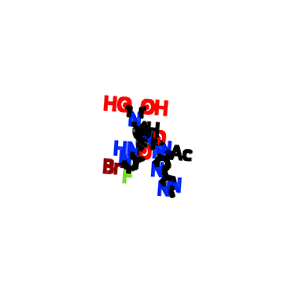 CC(=O)c1nn(CC(=O)N2[C@H](C(=O)Nc3nc(Br)c(F)cc3C)C[C@@]3(CN(CCO)CCO)C[C@@H]23)c2cnc(-c3cnc(C)nc3)cc12